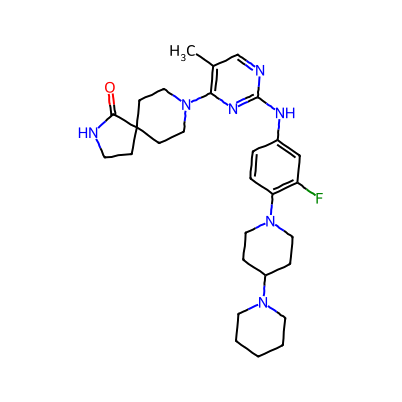 Cc1cnc(Nc2ccc(N3CCC(N4CCCCC4)CC3)c(F)c2)nc1N1CCC2(CCNC2=O)CC1